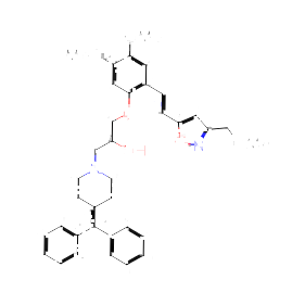 COCc1cc(/C=C/c2cc(OC)c(OC)cc2OCC(O)CN2CCC(=C(c3ccccc3)c3ccccc3)CC2)on1